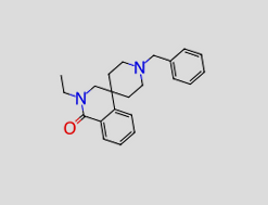 CCN1CC2(CCN(Cc3ccccc3)CC2)c2ccccc2C1=O